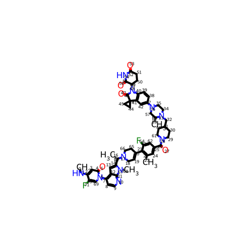 CNc1cc(=O)n(-c2ccnc3c2cc([C@H](C)N2CC=C(c4c(C)cc(C(=O)N5CCC(CN6CCN(c7ccc8c(c7)C7(CC7)C(=O)N8[C@@H]7CCC(=O)NC7=O)C[C@@H]6C)CC5)cc4F)CC2)n3C)cc1F